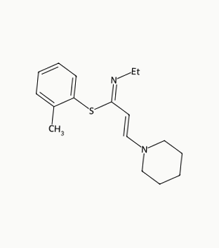 CC/N=C(\C=C\N1CCCCC1)Sc1ccccc1C